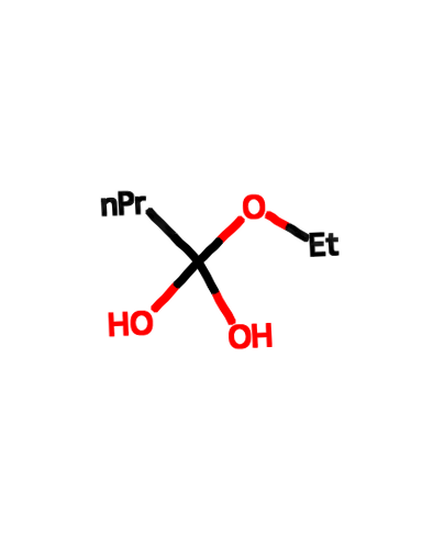 CCCC(O)(O)OCC